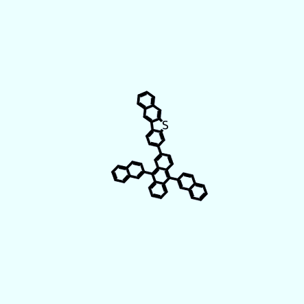 c1ccc2cc(-c3c4ccccc4c(-c4ccc5ccccc5c4)c4cc(-c5ccc6c(c5)sc5cc7ccccc7cc56)ccc34)ccc2c1